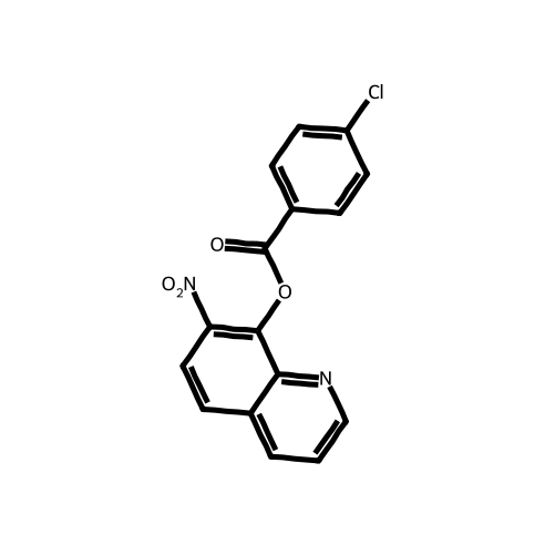 O=C(Oc1c([N+](=O)[O-])ccc2cccnc12)c1ccc(Cl)cc1